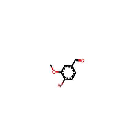 COc1cc(C=O)ccc1Br